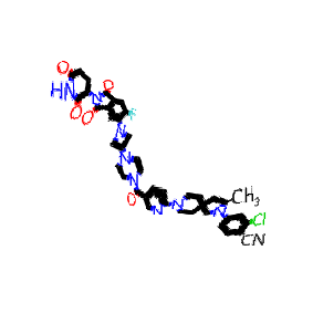 C[C@H]1CC2(CCN(c3ccc(C(=O)N4CCN(C5CN(c6cc7c(cc6F)C(=O)N(C6CCC(=O)NC6=O)C7=O)C5)CC4)cn3)CC2)CN1c1ccc(C#N)c(Cl)c1